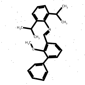 COc1c(/C=N/c2c(C(C)C)cccc2C(C)C)cccc1-c1ccccc1